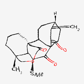 C=C1C(=O)C23CC[C@H]1CC2[C@@]12CCC[C@@](C)(COC1=O)C2[C@H](SC)C3=O